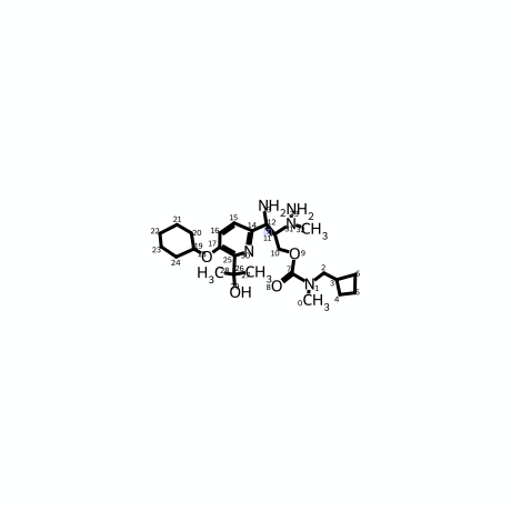 CN(CC1CCC1)C(=O)OC/C(=C(/N)c1ccc(OC2CCCCC2)c(C(C)(C)O)n1)N(C)N